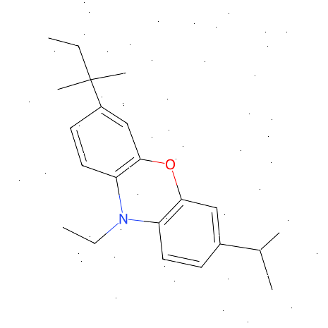 CCN1c2ccc(C(C)C)cc2Oc2cc(C(C)(C)CC)ccc21